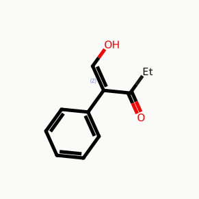 CCC(=O)/C(=C\O)c1ccccc1